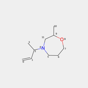 C=CC(C)N1CCCOC(C)C1